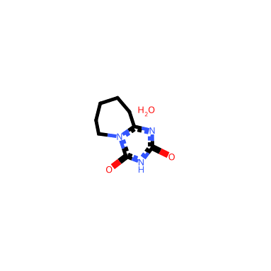 O.O=c1nc2n(c(=O)[nH]1)CCCCC2